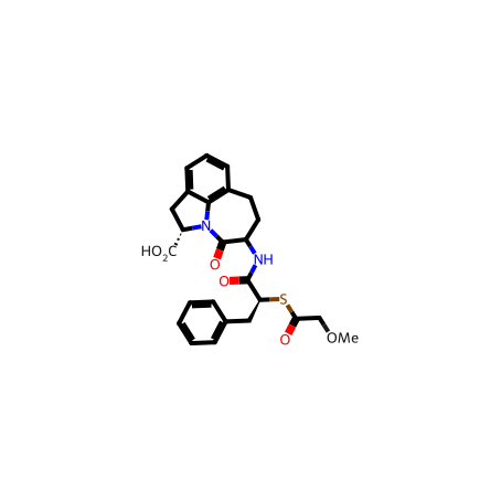 COCC(=O)S[C@@H](Cc1ccccc1)C(=O)NC1CCc2cccc3c2N(C1=O)[C@H](C(=O)O)C3